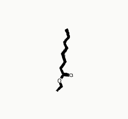 C=CCCCCCC(=O)OCC